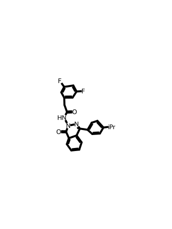 CC(C)c1ccc(-c2nn(NC(=O)Cc3cc(F)cc(F)c3)c(=O)c3ccccc23)cc1